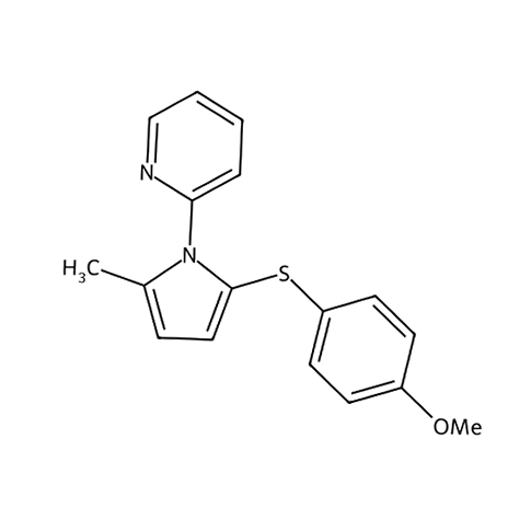 COc1ccc(Sc2ccc(C)n2-c2ccccn2)cc1